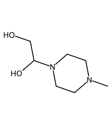 CN1CCN(C(O)CO)CC1